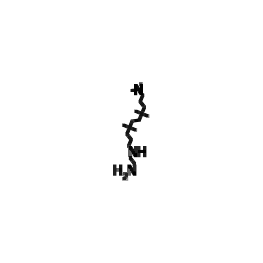 CN(C)CCCC(C)(C)CCC(C)(C)CCCNCCN